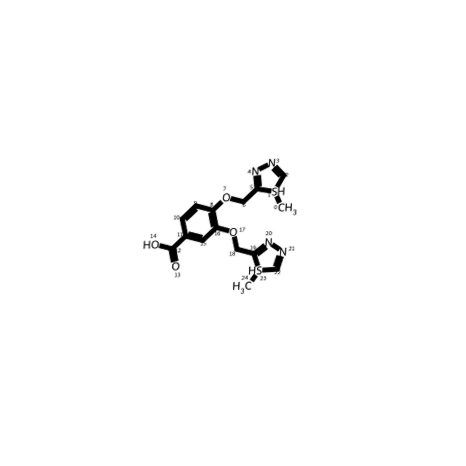 C[SH]1C=NN=C1COc1ccc(C(=O)O)cc1OCC1=NN=C[SH]1C